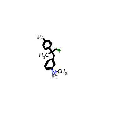 CC(C)c1ccc(C(C)(CF)Cc2cccc(N(C)C(C)C)c2)cc1